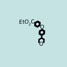 CCOC(=O)c1ccc(Oc2ccc(C3CCOCC3)cc2)cc1